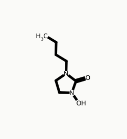 CCCCN1CCN(O)C1=O